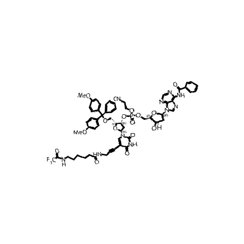 [C-]#[N+]CCOP(=O)(OC[C@H]1O[C@@H](n2cnc3c(NC(=O)c4ccccc4)ncnc32)C[C@H]1O)O[C@@H]1C[C@H](n2cc(C#CCNC(=O)CCCCCNC(=O)C(F)(F)F)c(=O)[nH]c2=O)O[C@@H]1COC(c1ccccc1)(c1ccc(OC)cc1)c1ccc(OC)cc1